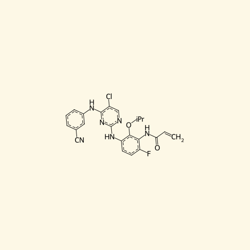 C=CC(=O)Nc1c(F)ccc(Nc2ncc(Cl)c(Nc3cccc(C#N)c3)n2)c1OC(C)C